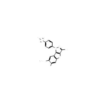 COc1cc2c(cc1F)oc1c(C(F)(F)F)nn(-c3ccc(S(N)(=O)=O)cc3)c12